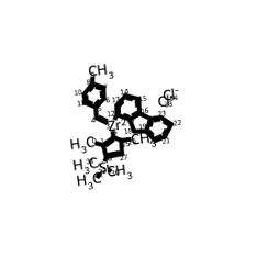 CC1=[C](/[Zr+2](=[CH]/c2ccc(C)cc2)[c]2cccc3c2Cc2ccccc2-3)C(C)C=C1[Si](C)(C)C.[Cl-].[Cl-]